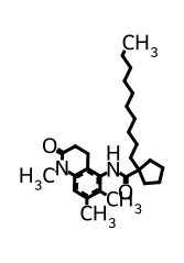 CCCCCCCCCCC1(C(=O)Nc2c(C)c(C)cc3c2CCC(=O)N3C)CCCC1